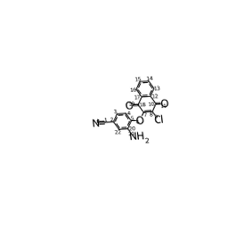 N#Cc1ccc(OC2=C(Cl)C(=O)c3ccccc3C2=O)c(N)c1